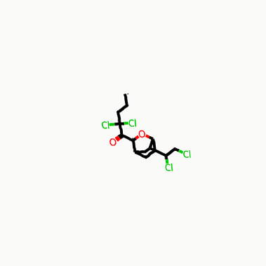 [CH2]CCC(Cl)(Cl)C(=O)[C]1OC2CCC1CC2C(Cl)CCl